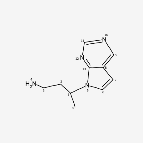 CC(CCN)n1ccc2cncnc21